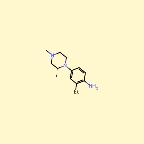 CCc1cc(N2CCN(C)C[C@H]2C)ccc1N